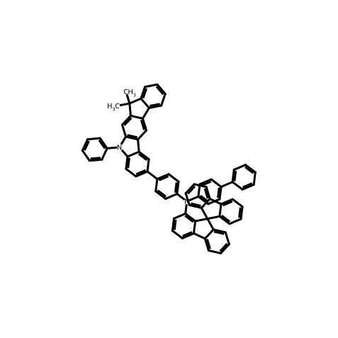 CC1(C)c2ccccc2-c2cc3c4cc(-c5ccc(N(c6ccc(-c7ccccc7)cc6)c6cccc7c6C6(c8ccccc8-c8ccccc86)c6ccccc6-7)cc5)ccc4n(-c4ccccc4)c3cc21